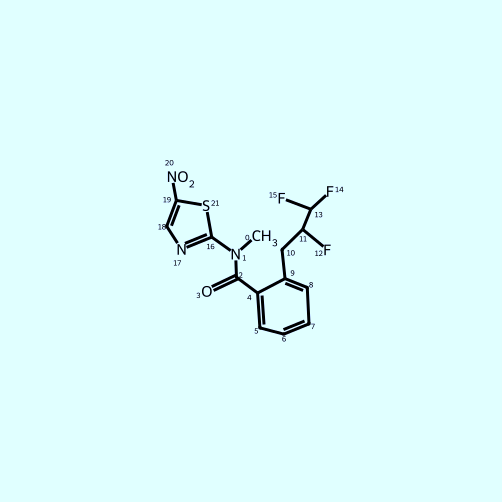 CN(C(=O)c1ccccc1CC(F)C(F)F)c1ncc([N+](=O)[O-])s1